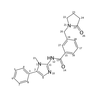 Cn1c(-c2ccccc2)cnc1NC(=O)c1cccc(CN2CCCC2=O)c1